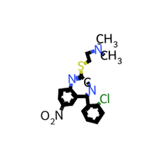 CN(C)CCSC1=Nc2ccc([N+](=O)[O-])cc2C(c2ccccc2Cl)=NC1